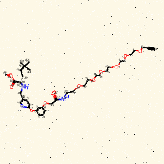 C#CCOCCOCCOCCOCCOCCOCCNC(=O)COc1cccc(Oc2ccc(CN[C@@H](CCC(C)(C)C)C(=O)OC)cn2)c1